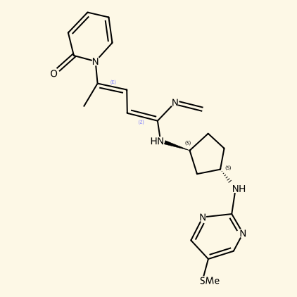 C=N/C(=C\C=C(/C)n1ccccc1=O)N[C@H]1CC[C@H](Nc2ncc(SC)cn2)C1